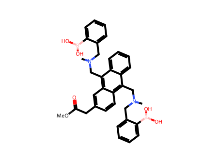 COC(=O)Cc1ccc2c(CN(C)Cc3ccccc3B(O)O)c3ccccc3c(CN(C)Cc3ccccc3B(O)O)c2c1